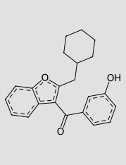 O=C(c1cccc(O)c1)c1c(CC2CCCCC2)oc2ccccc12